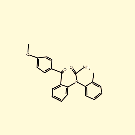 COc1ccc(C(=O)c2ccccc2N(C(N)=O)c2ccccc2C)cc1